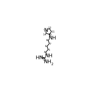 N=C(N)NCCCCCNC1CC[N]C1